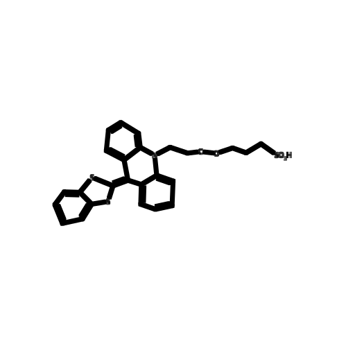 O=S(=O)(O)CCCOCCCN1c2ccccc2C(=C2Sc3ccccc3S2)c2ccccc21